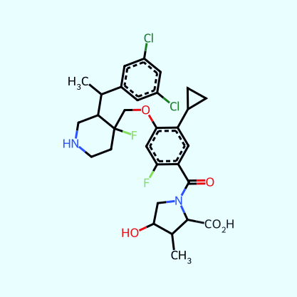 CC(c1cc(Cl)cc(Cl)c1)C1CNCCC1(F)COc1cc(F)c(C(=O)N2CC(O)C(C)C2C(=O)O)cc1C1CC1